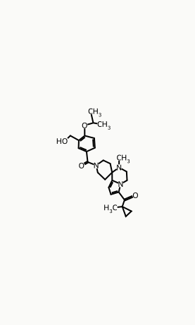 CC(C)Oc1ccc(C(=O)N2CCC3(CC2)c2ccc(C(=O)C4(C)CC4)n2CCN3C)cc1CO